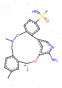 Cc1ccc2c(c1)[C@@H](C)Oc1cc(cnc1N)-c1cc(S(C)(=N)=O)ccc1CN(C)C2